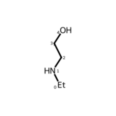 CCNC[CH]O